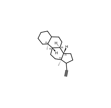 C#CC1CC[C@H]2[C@@H]3CCC4CCCC[C@]4(C)[C@H]3CC[C@]12C